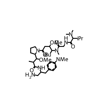 CCC(C)C(C(CC(=O)N1CCCC1C(OC)C(C)C(=O)NC(CN)Cc1ccc(NC)cc1)OC)N(C)C(=O)CNC(=O)C(C(C)C)N(C)C